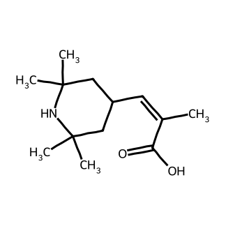 CC(=CC1CC(C)(C)NC(C)(C)C1)C(=O)O